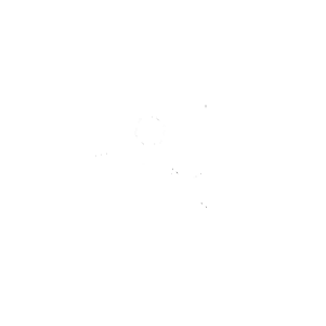 C=CC(C)c1cc(C)c2c(c1O)C(N(C)C(=O)CN1CCCC1)C1CCCCC21.Cl